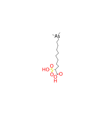 C[As](C)CCCCCCCCCC(C(=O)O)S(=O)(=O)O